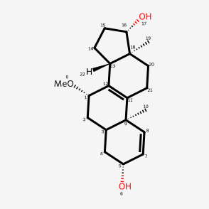 CO[C@H]1CC2C[C@@H](O)C=C[C@]2(C)C2=C1[C@@H]1CC[C@H](O)[C@@]1(C)CC2